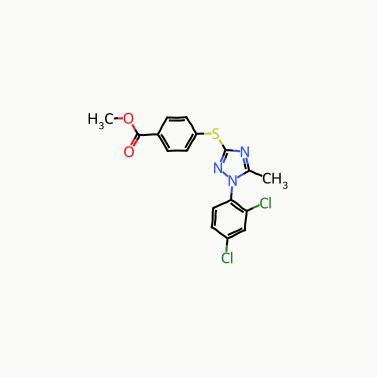 COC(=O)c1ccc(Sc2nc(C)n(-c3ccc(Cl)cc3Cl)n2)cc1